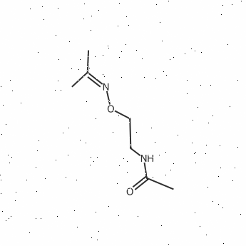 CC(=O)NCCON=C(C)C